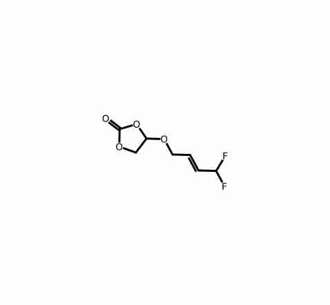 O=C1OCC(OCC=CC(F)F)O1